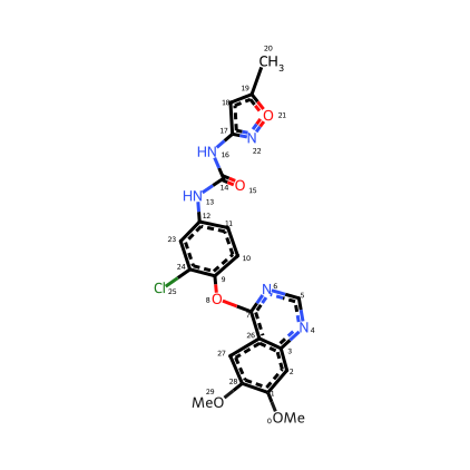 COc1cc2ncnc(Oc3ccc(NC(=O)Nc4cc(C)on4)cc3Cl)c2cc1OC